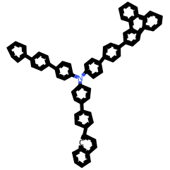 c1ccc(-c2ccc(-c3ccc(N(c4ccc(-c5ccc(-c6ccc7ccccc7c6)cc5)cc4)c4ccc(-c5ccc(-c6ccc7c8ccccc8c8ccccc8c7c6)cc5)cc4)cc3)cc2)cc1